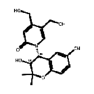 CC1(C)Oc2ccc(C#N)cc2[C@@H](n2cc(CO)c(CO)cc2=O)[C@@H]1O